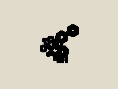 COC(=O)C(NC(=O)N1CCC(c2ccccc2)CC1)C(C)c1c[nH]c2ccccc12